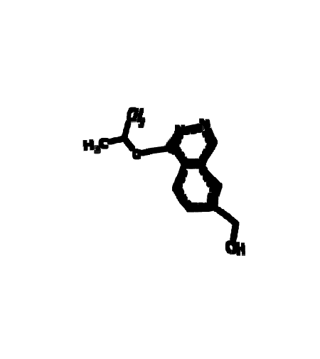 CC(C)Oc1nncc2cc(CO)ccc12